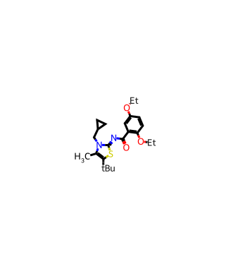 CCOc1ccc(OCC)c(C(=O)/N=c2\sc(C(C)(C)C)c(C)n2CC2CC2)c1